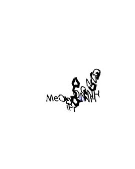 COCOc1cc(OCc2ccccc2)c(/C=N/NC(=O)Nc2ccc(N3CCOCC3)nc2)cc1C(C)C